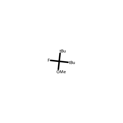 COC(F)(C(C)(C)C)C(C)(C)C